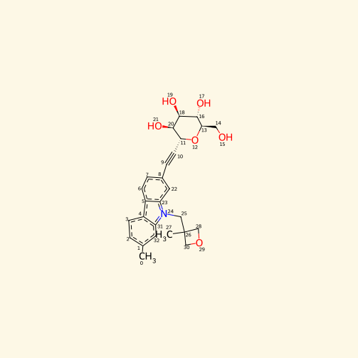 Cc1ccc2c3ccc(C#C[C@H]4O[C@H](CO)[C@@H](O)[C@H](O)[C@@H]4O)cc3n(CC3(C)COC3)c2c1